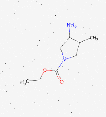 CCOC(=O)N1CC(C)C(N)C1